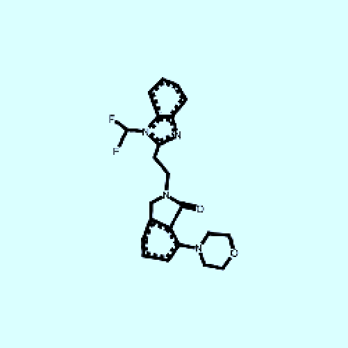 O=C1c2c(cccc2N2CCOCC2)CN1CCc1nc2ccccc2n1C(F)F